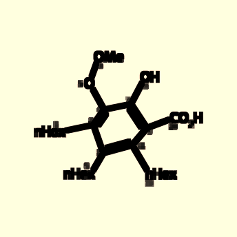 CCCCCCc1c(CCCCCC)c(OOC)c(O)c(C(=O)O)c1CCCCCC